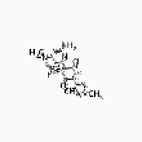 CNc1nc(N)nc(-c2cc(OC)c(-c3nc(C)no3)cc2Cl)c1C(F)(F)F